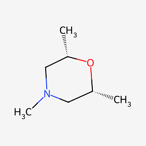 C[C@@H]1CN(C)C[C@H](C)O1